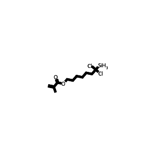 C=C(C)C(=O)OCCCCCCC([SiH3])(Cl)Cl